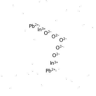 [In+3].[In+3].[O-2].[O-2].[O-2].[O-2].[O-2].[Pb+2].[Pb+2]